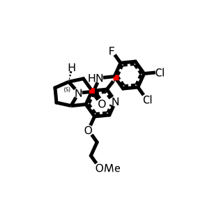 COCCOc1cnc(F)c2c1C1CC[C@@H](C2)N1C(=O)Nc1cc(Cl)c(Cl)cc1F